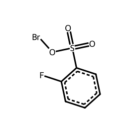 O=S(=O)(OBr)c1ccccc1F